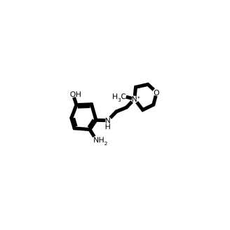 C[N+]1(CCNc2cc(O)ccc2N)CCOCC1